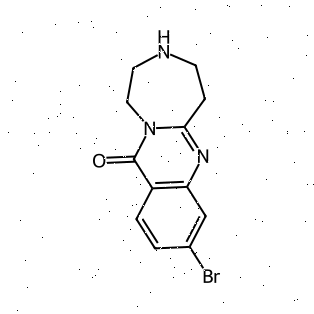 O=c1c2ccc(Br)cc2nc2n1CCNCC2